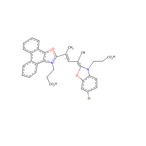 C/C(=C\C(C#N)=C1/Oc2cc(Br)ccc2N1CCC(=O)O)c1oc2c3ccccc3c3ccccc3c2[n+]1CCC(=O)O